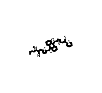 C=NC(=C\C=C/C)/C(C#N)=C/c1ccc(-c2oc3cccc4c5c(-c6ccc(/C=C(\C#N)c7ccccn7)s6)oc6cccc(c2c34)c65)s1